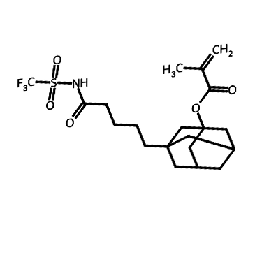 C=C(C)C(=O)OC12CC3CC(CC(CCCCC(=O)NS(=O)(=O)C(F)(F)F)(C3)C1)C2